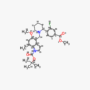 COC(=O)c1ccc(C2CCCCN2Cc2c(OC)cc(C)c3c2ccn3C(=O)OC(C)(C)C)c(F)c1